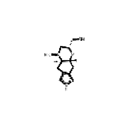 CN1C[C@H](CO)O[C@@H]2Cc3n[nH]cc3C[C@H]21